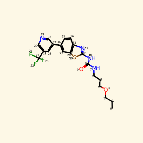 CCCOCCCNC(=O)Nc1nc2ccc(-c3cncc(C(F)(F)F)c3)cc2s1